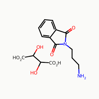 NCCCN1C(=O)c2ccccc2C1=O.O=C(O)C(O)C(O)C(=O)O